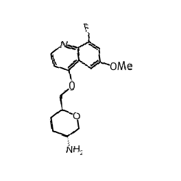 COc1cc(F)c2nccc(OC[C@@H]3CC[C@@H](N)CO3)c2c1